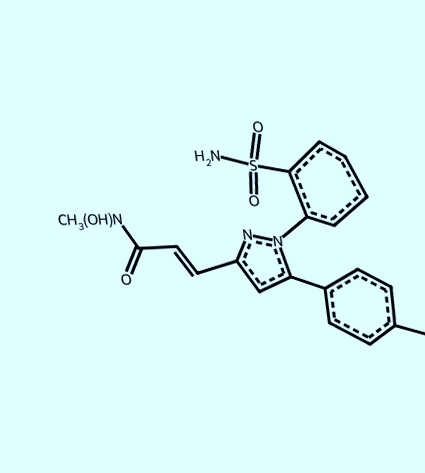 CN(O)C(=O)C=Cc1cc(-c2ccc(F)cc2)n(-c2ccccc2S(N)(=O)=O)n1